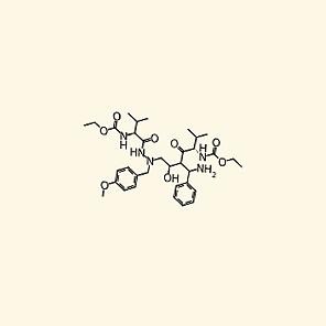 CCOC(=O)N[C@H](C(=O)NN(Cc1ccc(OC)cc1)C[C@H](O)C(C(=O)[C@@H](NC(=O)OCC)C(C)C)C(N)c1ccccc1)C(C)C